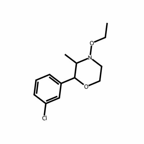 CCON1CCOC(c2cccc(Cl)c2)C1C